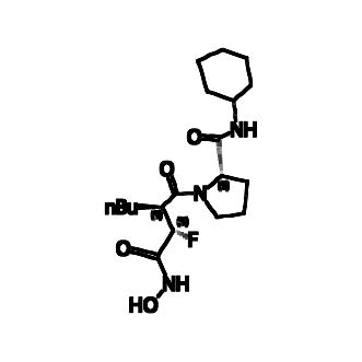 CCCC[C@@H](C(=O)N1CCC[C@H]1C(=O)NC1CCCCC1)[C@H](F)C(=O)NO